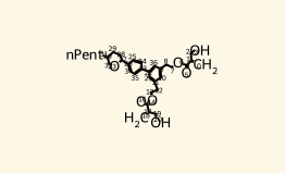 C=C(CO)C(=O)OCCc1cc(CCOC(=O)C(=C)CO)cc(-c2ccc(C3CCC(CCCCC)CO3)cc2)c1